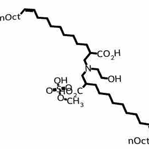 CCCCCCCC/C=C\CCCCCCCCC(CN(CCO)CC(CCCCCCCC/C=C\CCCCCCCC)C(=O)O)C(=O)O.COS(=O)(=O)O